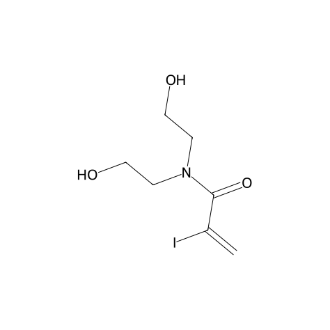 C=C(I)C(=O)N(CCO)CCO